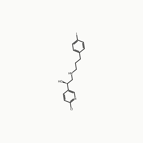 O[C@@H](CNCCCc1ccc(I)cc1)c1ccc(Cl)nc1